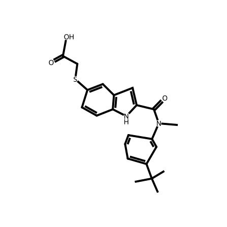 CN(C(=O)c1cc2cc(SCC(=O)O)ccc2[nH]1)c1cccc(C(C)(C)C)c1